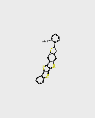 CSc1ccccc1C1Cc2cc3sc4c(sc5c6ccccc6sc54)c3cc2S1